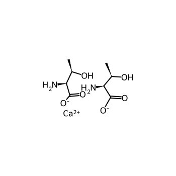 C[C@@H](O)[C@H](N)C(=O)[O-].C[C@@H](O)[C@H](N)C(=O)[O-].[Ca+2]